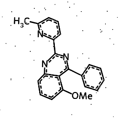 COc1cccc2nc(-c3cccc(C)n3)nc(-c3ccccc3)c12